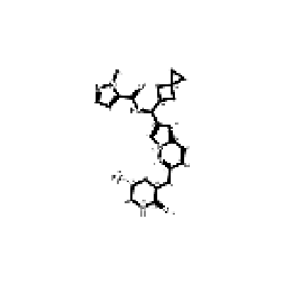 CCn1nccc1C(=O)NC(c1cn2nc(CC3C[C@@H](C(F)(F)F)CNC3=O)ccc2n1)C1CC2(CC2)C1